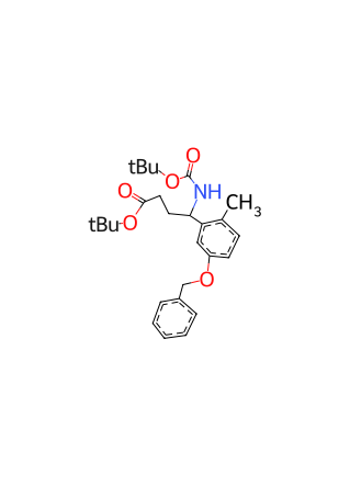 Cc1ccc(OCc2ccccc2)cc1C(CCC(=O)OC(C)(C)C)NC(=O)OC(C)(C)C